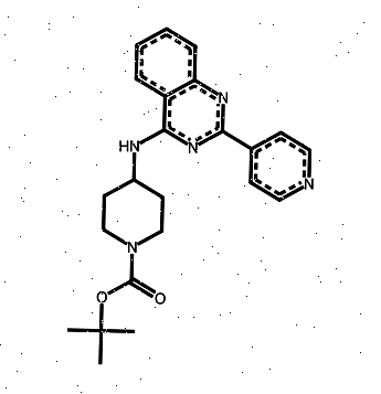 CC(C)(C)OC(=O)N1CCC(Nc2nc(-c3ccncc3)nc3ccccc23)CC1